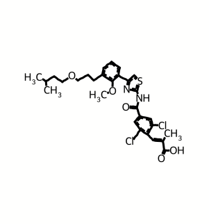 COc1c(CCCOCCC(C)C)cccc1-c1csc(NC(=O)c2cc(Cl)c(C=C(C)C(=O)O)c(Cl)c2)n1